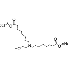 CCCCCCCCCOC(=O)CCCCCCCN(CCO)CCCCCCCC(=O)OC(C)CCCCCCCC